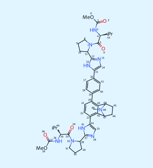 COC(=O)N[C@H](C(=O)N1CCCC1c1ncc(-c2ccc(-c3ccc(-c4cnc(C5CCCN5C(=O)[C@@H](NC(=O)OC)C(C)C)[nH]4)c4c3C3CCC4N3C)cc2)[nH]1)C(C)C